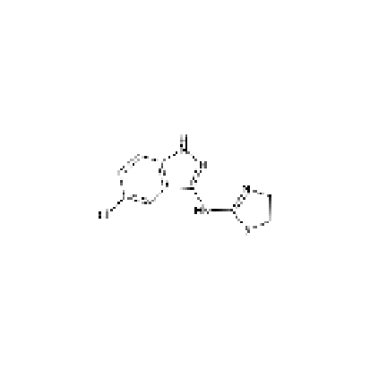 Clc1ccc2[nH]nc(Nc3nccs3)c2c1